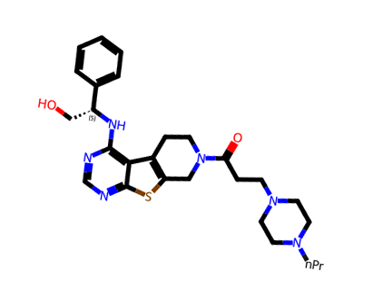 CCCN1CCN(CCC(=O)N2CCc3c(sc4ncnc(N[C@H](CO)c5ccccc5)c34)C2)CC1